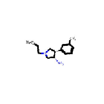 COCCN1C[C@@H](N)[C@H](c2cccc(C)c2)C1